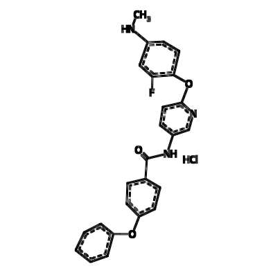 CNc1ccc(Oc2ccc(NC(=O)c3ccc(Oc4ccccc4)cc3)cn2)c(F)c1.Cl